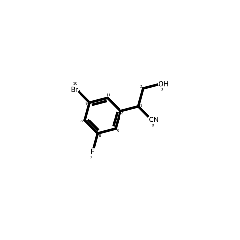 N#CC(CO)c1cc(F)cc(Br)c1